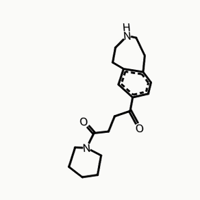 O=C(CCC(=O)N1CCCCC1)c1ccc2c(c1)CCNCC2